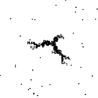 CCCCC(CC)COCCC(O)(C=O)c1ccc(-c2nc(-c3ccc(OC)cc3)nc(-c3ccc(C(O)(C=O)CCOCC(CC)CCCC)cc3)n2)cc1